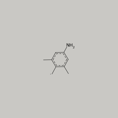 [CH2]c1c(C)cc(N)cc1C